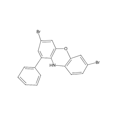 Brc1ccc2c(c1)Oc1cc(Br)cc(-c3ccccc3)c1N2